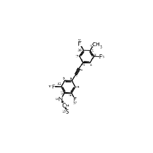 Cc1c(F)cc(C#Cc2cc(F)c(N=C=S)c(F)c2)cc1F